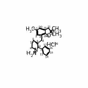 Cc1cc(C[C@@H]2CCCN(N)[C@@H]2c2ccccc2)c2c(c1)CC(C)(C)O2.Cl